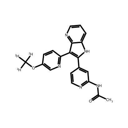 [2H]C([2H])([2H])Oc1ccc(-c2c(-c3ccnc(NC(C)=O)c3)[nH]c3cccnc23)nc1